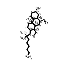 CCCCCC[C@](C)(O)[C@H]1CC[C@@H]2C1CC[C@H]1[C@H]2C[C@H](N=O)[C@H]2C[C@@H](O)CC[C@@]21C